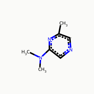 Cc1[c]ncc(N(C)C)n1